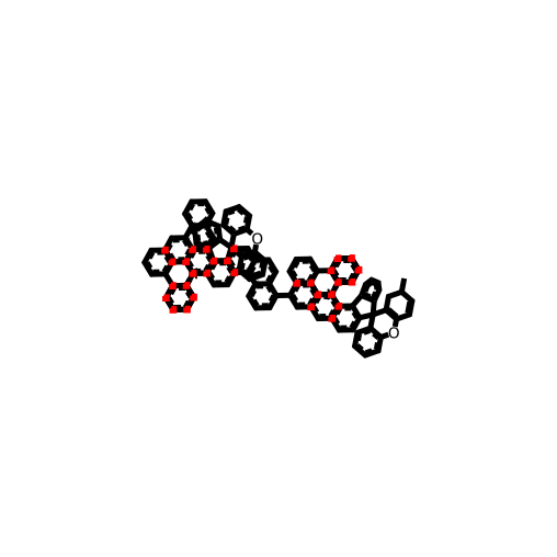 CC1C=CC2=C(C1)C1(c3ccccc3O2)c2ccccc2-c2c(N(c3ccc(-c4cccc5c4ccc4ccc(-c6ccc(-c7ccccc7-c7ccccc7N(c7cccc8c7-c7ccccc7C87c8ccccc8Oc8ccccc87)c7cccc8c7ccc7ccccc78)c(-c7ccccc7)c6)cc45)cc3)c3ccccc3-c3ccccc3-c3ccccc3-c3ccccc3)cccc21